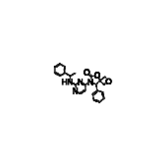 CC(Nc1nccc(N2C(=O)OC3(COC3)C2c2ccccc2)n1)c1ccccc1